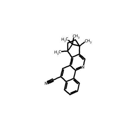 CC12CCC(C)(c3c1cnc1c3cc(C#N)c3ccccc31)C2(C)C